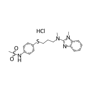 CN(CCCSc1ccc(NS(C)(=O)=O)cc1)c1nc2ccccc2n1C.Cl